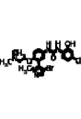 CN(C)CCOc1ccc(NC(=O)Nc2ccc(Cl)cc2O)cc1-c1c(Br)cnn1C